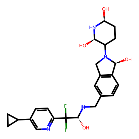 O[C@H]1CCC(N2Cc3cc(CN[C@H](O)C(F)(F)c4ccc(C5CC5)cn4)ccc3[C@@H]2O)[C@@H](O)N1